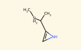 C[SiH2]C(C)C1=CN1